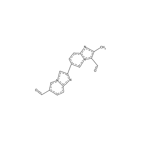 Cc1nc2ccc(-c3cn4cc(C=O)ccc4n3)cn2c1C=O